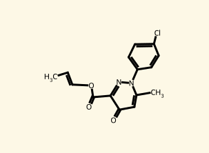 CC=COC(=O)c1nn(-c2ccc(Cl)cc2)c(C)cc1=O